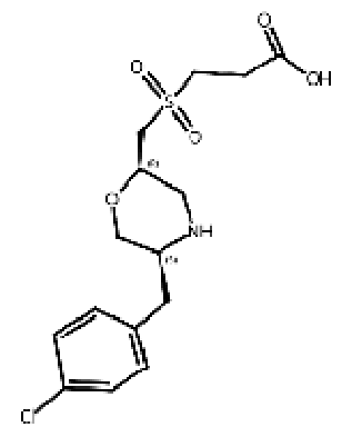 O=C(O)CCS(=O)(=O)C[C@H]1CN[C@@H](Cc2ccc(Cl)cc2)CO1